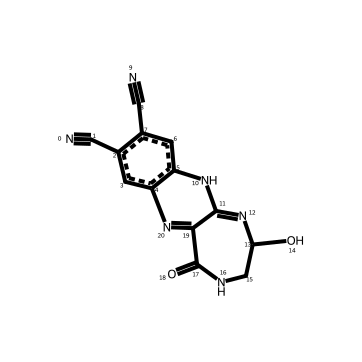 N#Cc1cc2c(cc1C#N)NC1=NC(O)CNC(=O)C1=N2